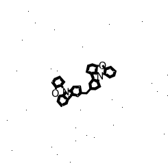 c1ccc2c(c1)Oc1cccc3c4cc(Cc5ccc6c(c5)c5cccc7c5n6-c5ccccc5O7)ccc4n-2c13